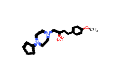 COc1ccc(CCC(O)CN2C[CH]N(C3CCCC3)CC2)cc1